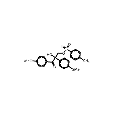 COc1ccc(C(=O)C(O)(COS(=O)(=O)c2ccc(C)cc2)c2ccc(SC)cc2)cc1